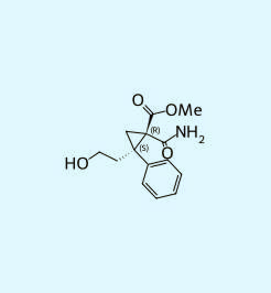 COC(=O)[C@]1(C(N)=O)C[C@]1(CCO)c1ccccc1